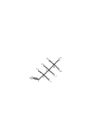 O=CC(I)(I)C(I)(I)C(I)(I)I